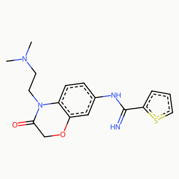 CN(C)CCN1C(=O)COc2cc(NC(=N)c3cccs3)ccc21